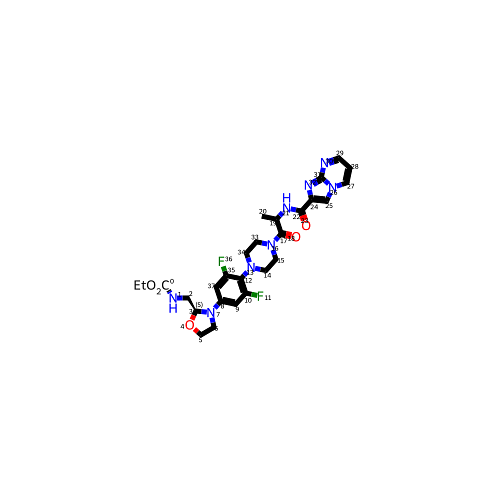 CCOC(=O)NC[C@@H]1OCCN1c1cc(F)c(N2CCN(C(=O)C(C)NC(=O)c3cn4cccnc4n3)CC2)c(F)c1